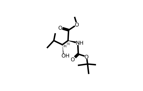 COC(=O)[C@@H](NC(=O)OC(C)(C)C)[C@H](O)C(C)C